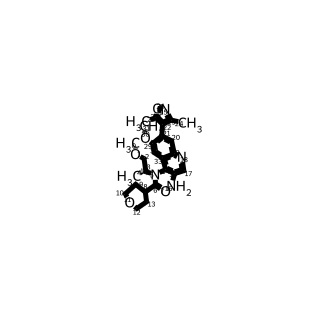 COC[C@@H](C)N(C(=O)C1CCOCC1)c1c(N)cnc2cc(-c3c(C)noc3C)c(OC)cc12